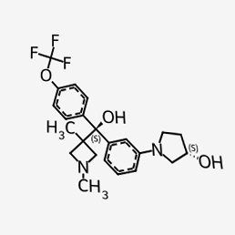 CN1CC(C)([C@](O)(c2ccc(OC(F)(F)F)cc2)c2cccc(N3CC[C@H](O)C3)c2)C1